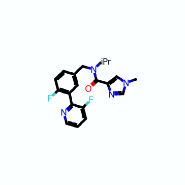 CC(C)N(Cc1ccc(F)c(-c2ncccc2F)c1)C(=O)c1cn(C)cn1